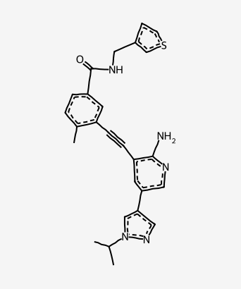 Cc1ccc(C(=O)NCc2ccsc2)cc1C#Cc1cc(-c2cnn(C(C)C)c2)cnc1N